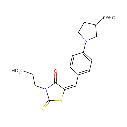 CCCCCC1CCN(c2ccc(C=C3SC(=S)N(CCC(=O)O)C3=O)cc2)C1